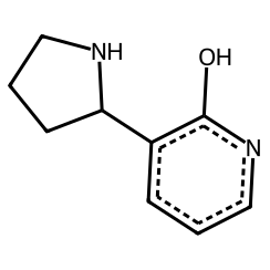 Oc1ncccc1C1CCCN1